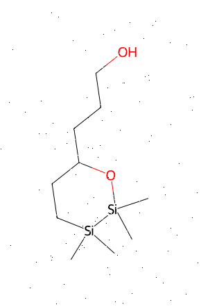 C[Si]1(C)CCC(CCCO)O[Si]1(C)C